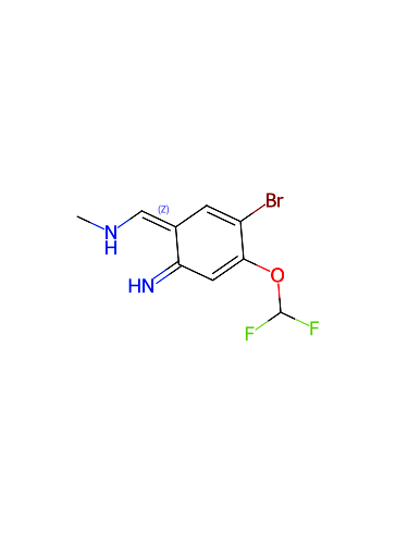 CN/C=C1/C=C(Br)C(OC(F)F)=CC1=N